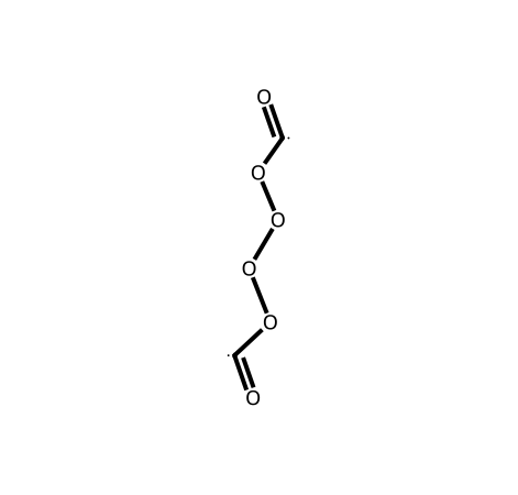 O=[C]OOOO[C]=O